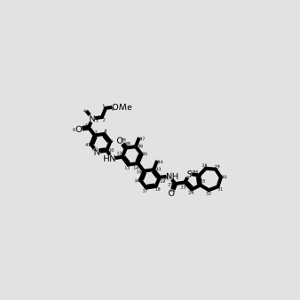 COCCN(C)C(=O)c1ccc(NC2=CC(c3cccc(NC(=O)c4cc5c(s4)CCCCC5)c3C)=CC(C)C2=O)nc1